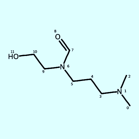 CN(C)CCCN(C=O)CCO